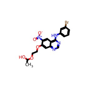 CC(O)OCCOc1cc2ncnc(Nc3cccc(Br)c3)c2cc1[N+](=O)[O-]